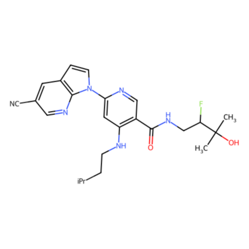 CC(C)CCNc1cc(-n2ccc3cc(C#N)cnc32)ncc1C(=O)NCC(F)C(C)(C)O